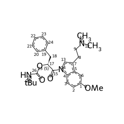 COc1ccc2c(c1)c(CCN(C)C)cn2C(=O)[C@H](Cc1ccccc1)OC(=O)NC(C)(C)C